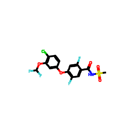 CS(=O)(=O)NC(=O)c1cc(F)c(Oc2ccc(Cl)c(OC(F)F)c2)cc1F